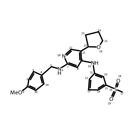 COc1ccc(CNc2cc(Nc3cccc(S(C)(=O)=O)c3)c(C3CCCO3)cn2)cc1